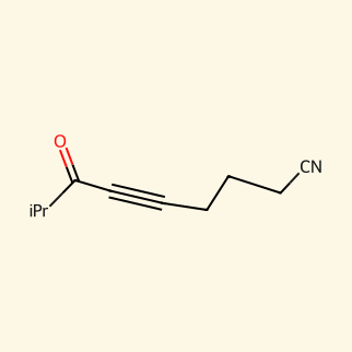 CC(C)C(=O)C#CCCCC#N